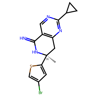 C[C@@]1(c2cc(Br)cs2)Cc2nc(C3CC3)ncc2C(=N)N1